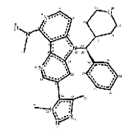 CCN(C)c1nccc2c1c1ncc(-c3c(C)nnn3C)cc1n2[C@H](c1ccccc1)C1CCOCC1